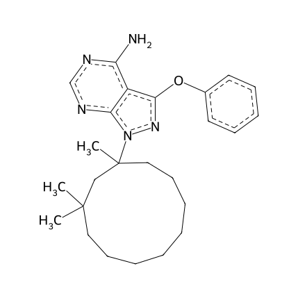 CC1(C)CCCCCCCCC(C)(n2nc(Oc3ccccc3)c3c(N)ncnc32)C1